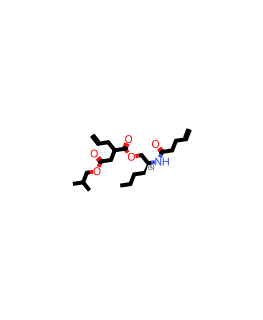 C=CCCC(=O)N[C@@H](CCCC)COC(=O)C(CC=C)CC(=O)OCC(C)C